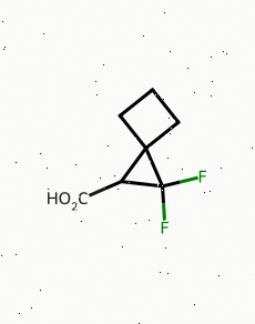 O=C(O)C1C(F)(F)C12CCC2